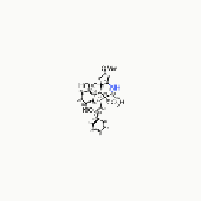 COCCC1(C(=O)O)C(C)NC(C)C(C/C=C/c2ccccc2)(C(=O)O)C1c1cccc([N+](=O)[O-])c1